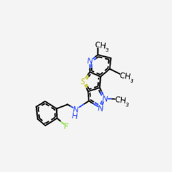 Cc1cc(C)c2c(n1)sc1c(NCc3ccccc3F)nn(C)c12